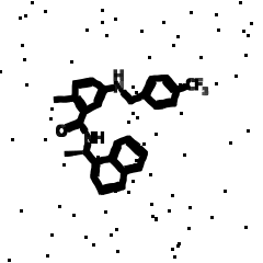 Cc1ccc(NCc2ccc(C(F)(F)F)cc2)cc1C(=O)N[C@H](C)c1cccc2ccccc12